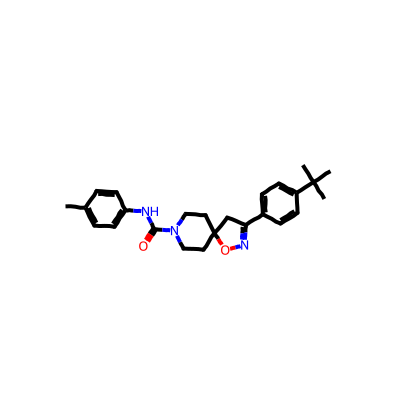 Cc1ccc(NC(=O)N2CCC3(CC2)CC(c2ccc(C(C)(C)C)cc2)=NO3)cc1